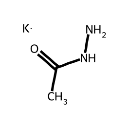 CC(=O)NN.[K]